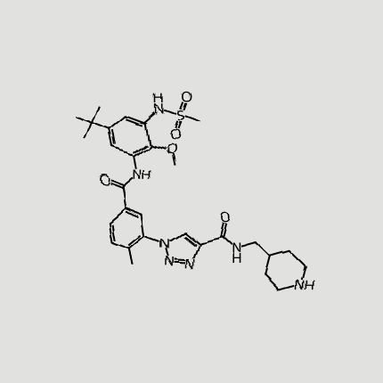 COc1c(NC(=O)c2ccc(C)c(-n3cc(C(=O)NCC4CCNCC4)nn3)c2)cc(C(C)(C)C)cc1NS(C)(=O)=O